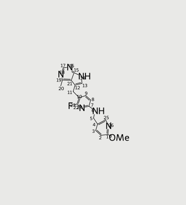 COc1ccc(CNc2ccc(Cc3c[nH]c4ncnc(C)c34)c(F)n2)cn1